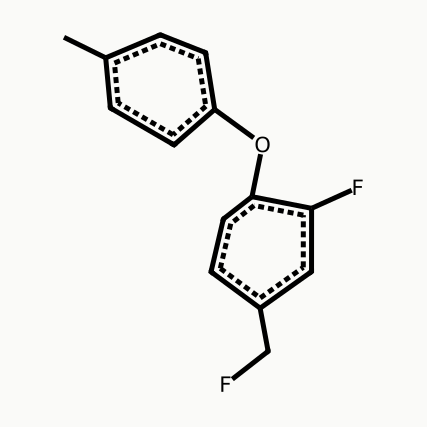 Cc1ccc(Oc2ccc(CF)cc2F)cc1